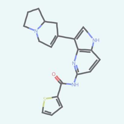 O=C(Nc1ccc2[nH]cc(C3=CCN4CCCC4C3)c2n1)c1cccs1